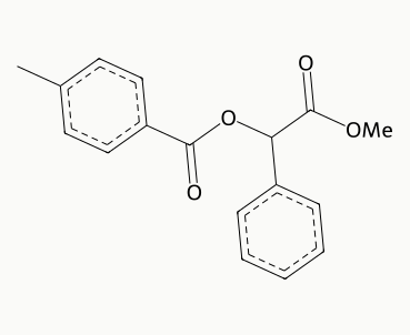 COC(=O)C(OC(=O)c1ccc(C)cc1)c1ccccc1